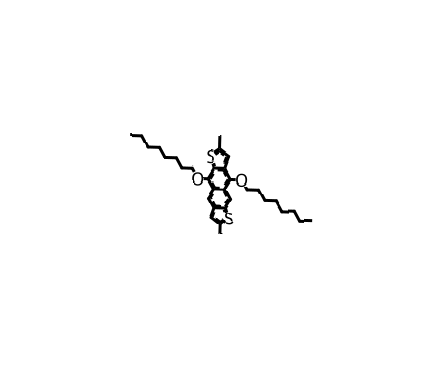 CCCCCCCCOc1c2cc3sc(C)cc3cc2c(OCCCCCCCC)c2sc(C)cc12